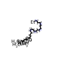 CC/C=C\C/C=C\C/C=C\C/C=C\C/C=C\CCCC(=O)OC(=O)CC(O)C[N+](C)(C)C